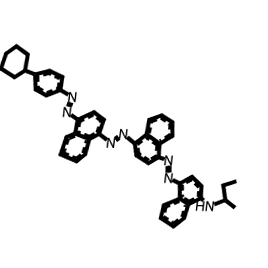 CCC(C)Nc1ccc(/N=N/c2ccc(/N=N/c3ccc(/N=N/c4ccc(C5CCCCC5)cc4)c4ccccc34)c3ccccc23)c2ccccc12